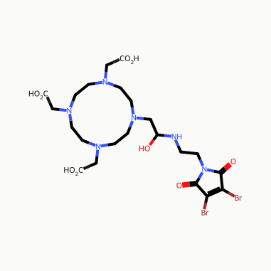 O=C(O)CN1CCN(CC(=O)O)CCN(CC(O)NCCN2C(=O)C(Br)=C(Br)C2=O)CCN(CC(=O)O)CC1